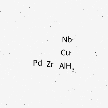 [AlH3].[Cu].[Nb].[Pd].[Zr]